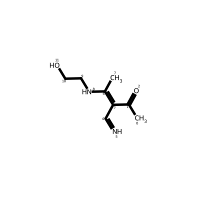 CC(=O)/C(C=N)=C(\C)NCCO